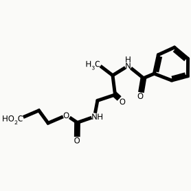 CC(NC(=O)c1ccccc1)C(=O)CNC(=O)OCCC(=O)O